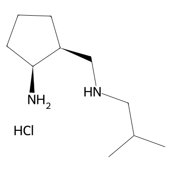 CC(C)CNC[C@@H]1CCC[C@@H]1N.Cl